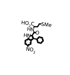 CSCC[C@H](NC(=O)c1[nH]c2ccc([N+](=O)[O-])cc2c1-c1ccccc1)C(=O)O